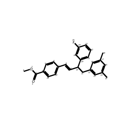 COC(=O)c1ccc(/C=C/C(Cc2cc(C)cc(C)c2)c2cccc(F)c2)cc1